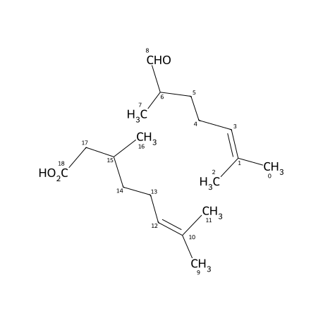 CC(C)=CCCC(C)C=O.CC(C)=CCCC(C)CC(=O)O